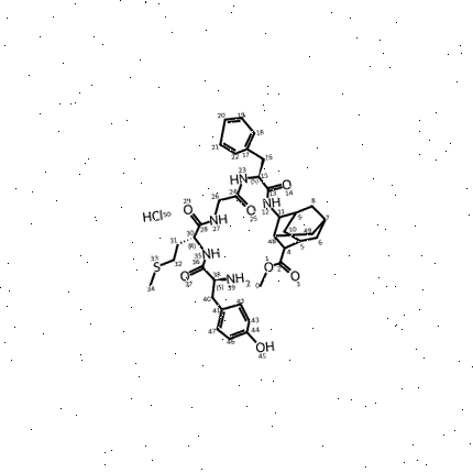 COC(=O)C1C2CC3CC(C2)C(NC(=O)[C@H](Cc2ccccc2)NC(=O)CNC(=O)[C@@H](CCSC)NC(=O)[C@@H](N)Cc2ccc(O)cc2)C1C3.Cl